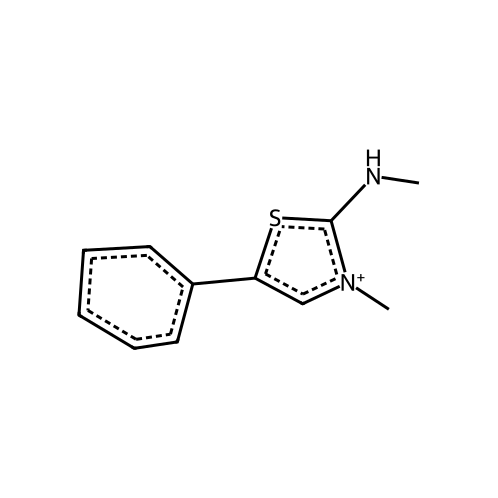 CNc1sc(-c2ccccc2)c[n+]1C